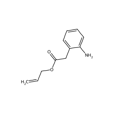 C=CCOC(=O)Cc1ccccc1N